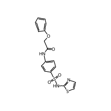 O=C(COc1ccccc1)Nc1ccc(S(=O)(=O)Nc2nccs2)cc1